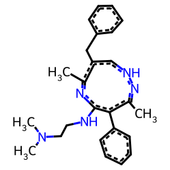 Cc1nc(NCCN(C)C)c(-c2ccccc2)c(C)n[nH]cc1Cc1ccccc1